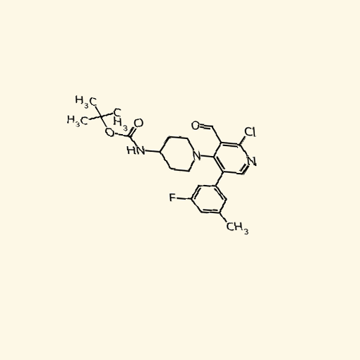 Cc1cc(F)cc(-c2cnc(Cl)c(C=O)c2N2CCC(NC(=O)OC(C)(C)C)CC2)c1